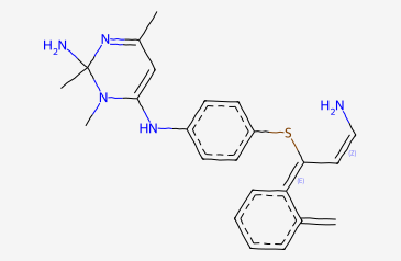 C=c1cccc/c1=C(/C=C\N)Sc1ccc(NC2=CC(C)=NC(C)(N)N2C)cc1